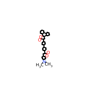 CCN(CC)c1ccc2cc(-c3ccc(-c4ccc(-c5cc6c7ccccc7c7ccccc7c6oc5=O)cc4)cc3)c(=O)oc2c1